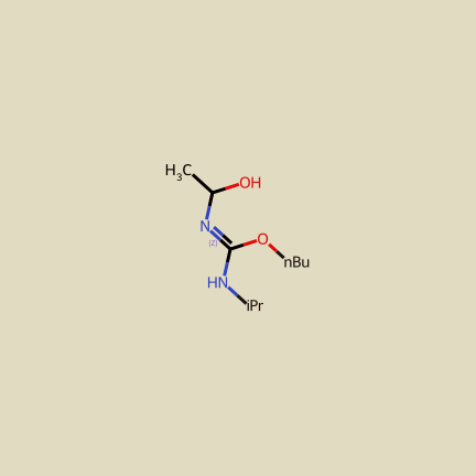 CCCCO/C(=N\C(C)O)NC(C)C